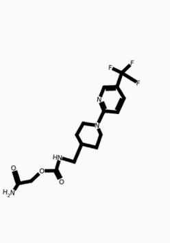 NC(=O)COC(=O)NCC1CCN(c2ccc(C(F)(F)F)cn2)CC1